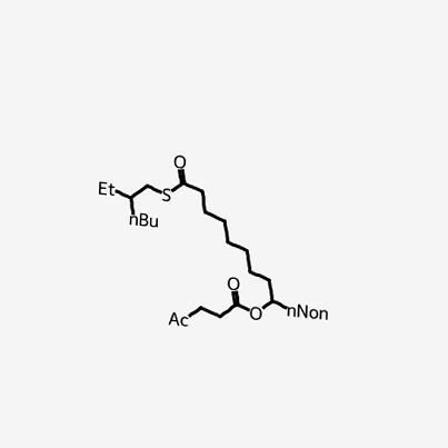 CCCCCCCCCC(CCCCCCCC(=O)SCC(CC)CCCC)OC(=O)CCC(C)=O